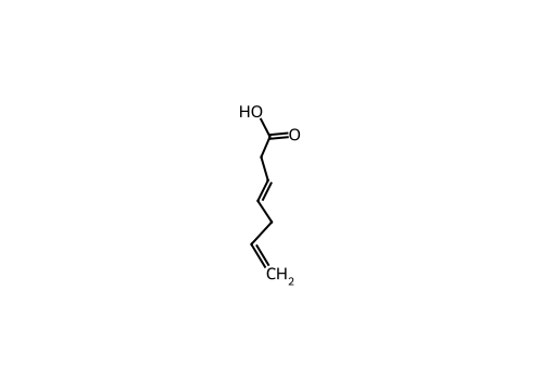 C=CC/C=C/CC(=O)O